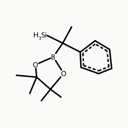 CC([SiH3])(B1OC(C)(C)C(C)(C)O1)c1ccccc1